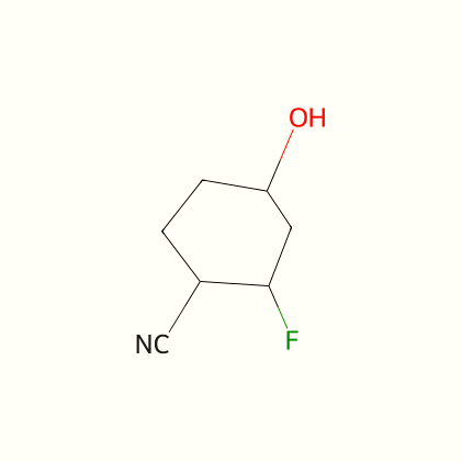 N#CC1CCC(O)CC1F